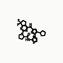 O=C(Nc1nccs1)C1CCCN1c1nc(Nc2cc(C3CCCC3)[nH]n2)c2c(n1)C(F)(F)CC2